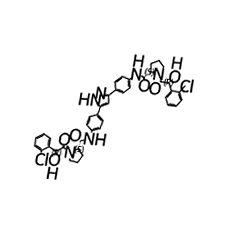 O=C(Nc1ccc(-c2cc(-c3ccc(NC(=O)[C@@H]4CCCN4C(=O)[C@H](O)c4ccccc4Cl)cc3)[nH]n2)cc1)[C@@H]1CCCN1C(=O)[C@H](O)c1ccccc1Cl